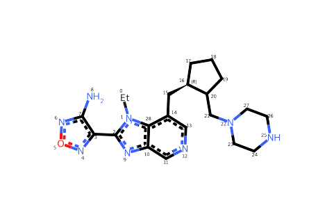 CCn1c(-c2nonc2N)nc2cncc(C[C@H]3CCCC3CN3CCNCC3)c21